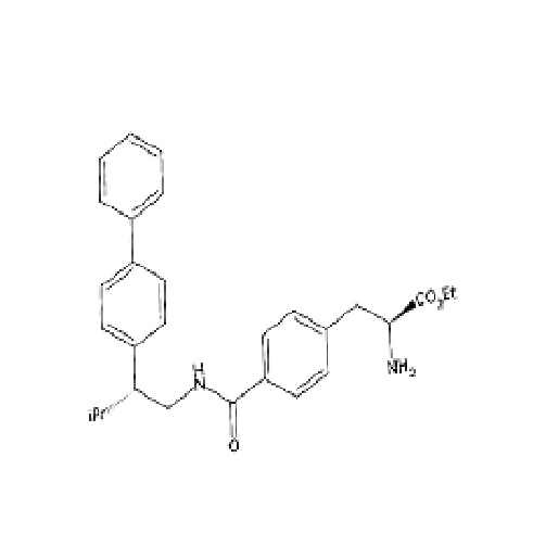 CCOC(=O)[C@@H](N)Cc1ccc(C(=O)NC[C@@H](c2ccc(-c3ccccc3)cc2)C(C)C)cc1